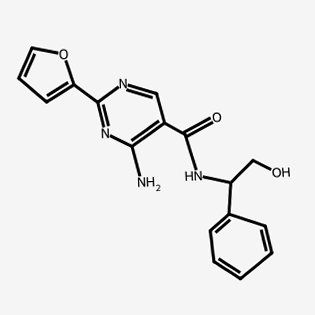 Nc1nc(-c2ccco2)ncc1C(=O)NC(CO)c1ccccc1